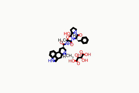 CN1C[C@H](C(=O)N[C@]2(C)O[C@@]3(O)[C@@H]4CCCN4C(=O)[C@H](Cc4ccccc4)N3C2=O)C=C2c3cccc4[nH]cc(c34)C[C@H]21.O=C(O)C(O)C(O)C(=O)O